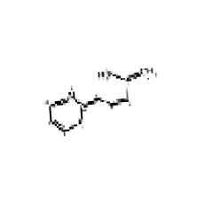 C=C(N)/C=C\C=C1/CC=CC=N1